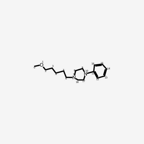 COCCCCCN1CCN(c2c[c]ccc2)CC1